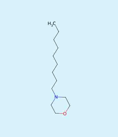 CCCCCCCCCN1CCOCC1